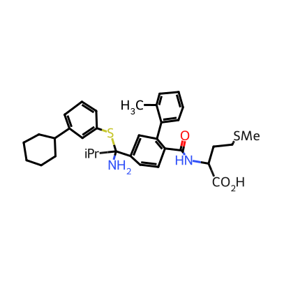 CSCCC(NC(=O)c1ccc(C(N)(Sc2cccc(C3CCCCC3)c2)C(C)C)cc1-c1ccccc1C)C(=O)O